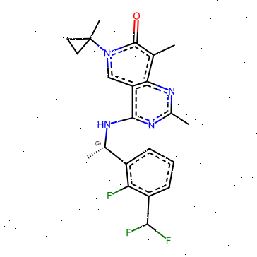 Cc1nc(N[C@@H](C)c2cccc(C(F)F)c2F)c2cn(C3(C)CC3)c(=O)c(C)c2n1